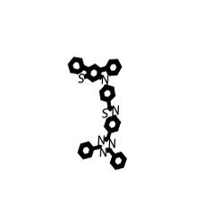 c1ccc(-c2nc(-c3ccccc3)nc(-c3ccc4nc(-c5ccc(-n6c7ccccc7c7cc8c(cc76)sc6ccccc68)cc5)sc4c3)n2)cc1